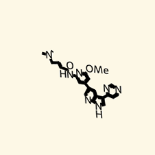 COc1cc(-c2cnc3[nH]cc(-c4ccncn4)c3c2)cc(NC(=O)C=CCN(C)C)n1